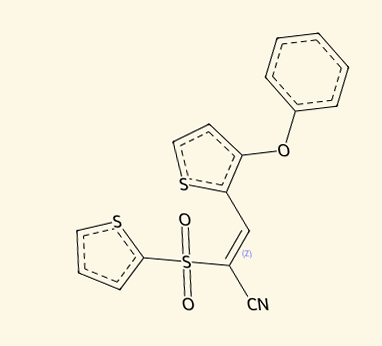 N#C/C(=C/c1sccc1Oc1ccccc1)S(=O)(=O)c1cccs1